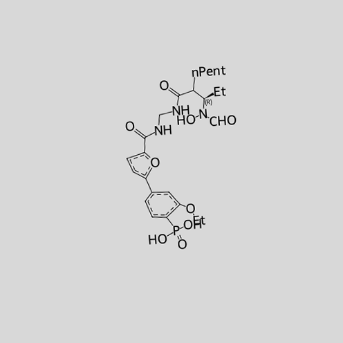 CCCCCC(C(=O)NCNC(=O)c1ccc(-c2ccc(P(=O)(O)O)c(OCC)c2)o1)[C@@H](CC)N(O)C=O